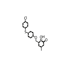 Cc1cc(COc2ccc(Sc3ccc(Cl)cc3)cc2)n(O)c(=O)c1